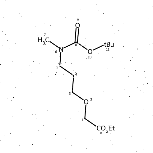 CCOC(=O)COCCCN(C)C(=O)OC(C)(C)C